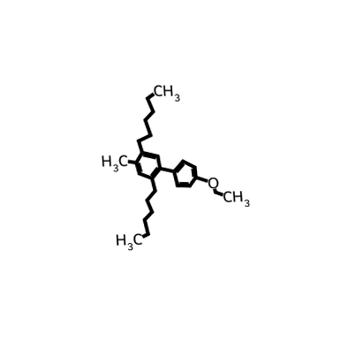 CCCCCCc1cc(-c2ccc(OCC)cc2)c(CCCCCC)cc1C